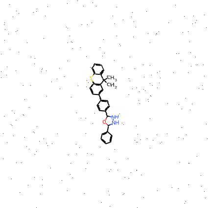 CC1(C)c2ccccc2Sc2ccc(-c3ccc(C4NNC(c5ccccc5)O4)cc3)cc21